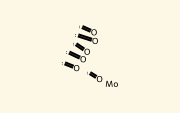 [C]=O.[C]=O.[C]=O.[C]=O.[C]=O.[C]=O.[Mo]